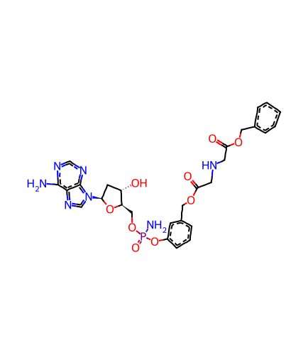 Nc1ncnc2c1ncn2[C@H]1C[C@H](O)[C@@H](COP(N)(=O)Oc2cccc(COC(=O)CNCC(=O)OCc3ccccc3)c2)O1